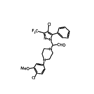 COc1cc(N2CCN(C(C=O)n3nc(C(F)(F)F)c(Cl)c3-c3ccccc3)CC2)ccc1Cl